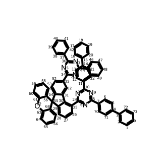 c1ccc(-c2ccc(-c3nc(-c4ccc(-c5ccccc5)cc4)nc(-c4cccc5c4-c4cc(-c6nc(-c7ccccc7)nc(-c7ccccc7)n6)ccc4C54c5ccccc5Oc5ccccc54)n3)cc2)cc1